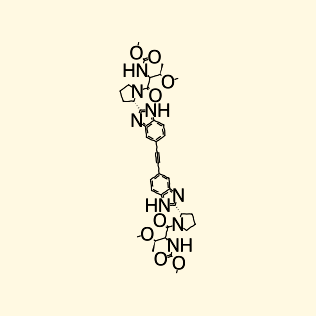 COC(=O)N[C@H](C(=O)N1CCC[C@H]1c1nc2cc(C#Cc3ccc4[nH]c([C@@H]5CCCN5C(=O)[C@@H](NC(=O)OC)[C@@H](C)OC)nc4c3)ccc2[nH]1)[C@@H](C)OC